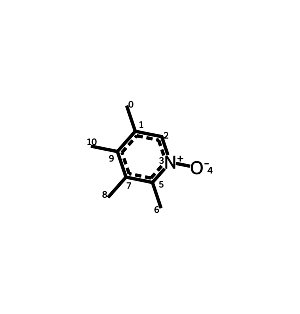 Cc1c[n+]([O-])c(C)c(C)c1C